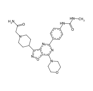 CNC(=O)Nc1ccc(-c2nc(N3CCOCC3)c3onc(C4CCN(CC(N)=O)CC4)c3n2)cc1